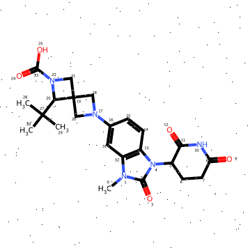 Cn1c(=O)n(C2CCC(=O)NC2=O)c2ccc(N3CC4(C3)CN(C(=O)O)C4C(C)(C)C)cc21